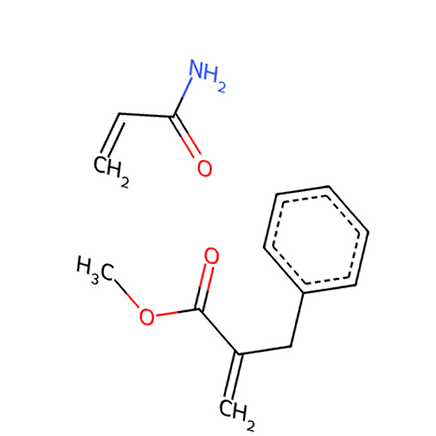 C=C(Cc1ccccc1)C(=O)OC.C=CC(N)=O